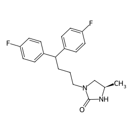 C[C@@H]1CN(CCCC(c2ccc(F)cc2)c2ccc(F)cc2)C(=O)N1